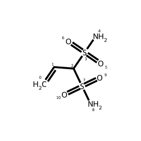 C=CC(S(N)(=O)=O)S(N)(=O)=O